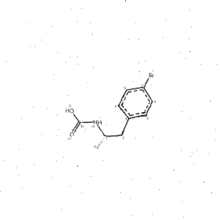 C[C@@H](Cc1ccc(Br)cc1)NC(=O)O